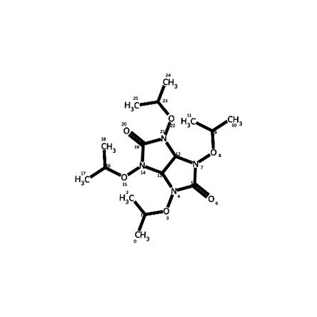 CC(C)ON1C(=O)N(OC(C)C)C2C1N(OC(C)C)C(=O)N2OC(C)C